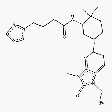 Cn1c2c(n(CC(C)(C)C)c1=O)=CCC(C1CCC(C)(C)C(NC(=O)CCCc3cccs3)C1)N=2